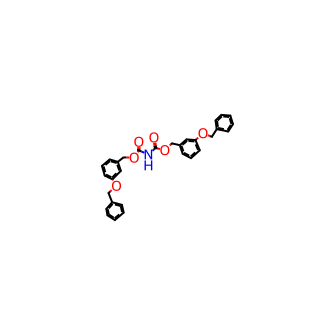 O=C(NC(=O)OCc1cccc(OCc2ccccc2)c1)OCc1cccc(OCc2ccccc2)c1